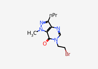 CCCc1nn(C)c2c(=O)n(CCBr)cnc12